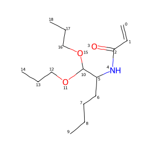 C=CC(=O)NC(CCCC)C(OCCC)OCCC